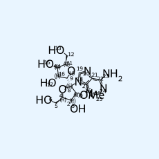 CO[C@@H]1[C@H](O)[C@@H](CO)O[C@@]1(C1O[C@H](CO)[C@H](O)[C@H]1O)n1cnc2c(N)ncnc21